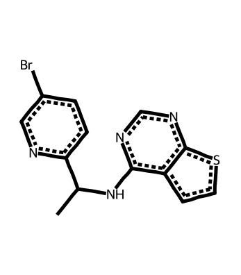 CC(Nc1ncnc2sccc12)c1ccc(Br)cn1